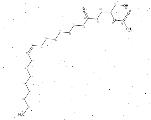 CCCCCCCC/C=C\CCCCCCCC(=O)OC[C@H](CO)OC(C)=O